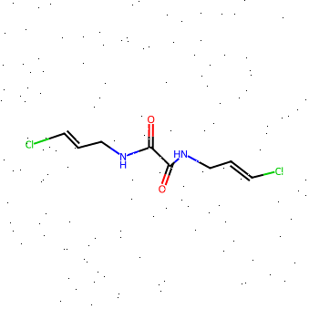 O=C(NCC=CCl)C(=O)NCC=CCl